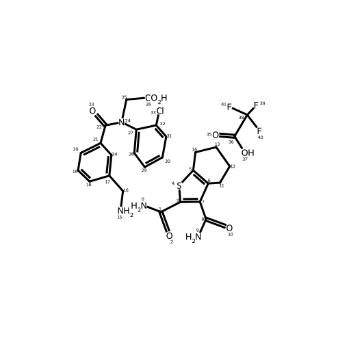 NC(=O)c1sc2c(c1C(N)=O)CCCC2.NCc1cccc(C(=O)N(CC(=O)O)c2ccccc2Cl)c1.O=C(O)C(F)(F)F